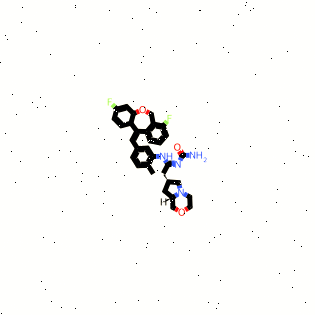 Cc1ccc(/C=C2\c3cccc(F)c3COC3C=C(F)C=CC23)cc1N/C(C[C@H]1C[C@@H]2COCCN2C1)=N\C(N)=O